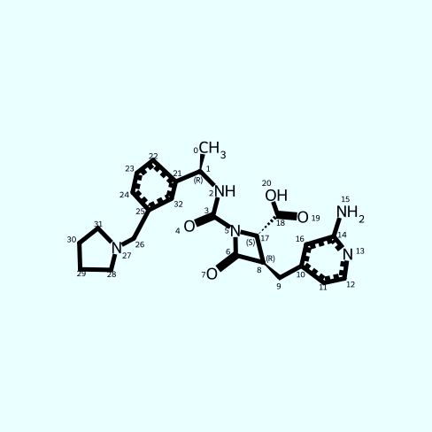 C[C@@H](NC(=O)N1C(=O)[C@H](Cc2ccnc(N)c2)[C@H]1C(=O)O)c1cccc(CN2CCCC2)c1